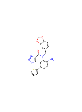 Nc1ccc(-c2cccs2)cc1N(Cc1ccc2c(c1)OCO2)C(=O)c1c[nH]nn1